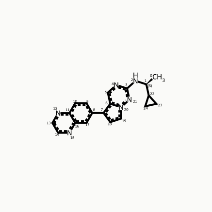 C[C@H](Nc1ncc2c(-c3ccc4nccnc4c3)ccn2n1)C1CC1